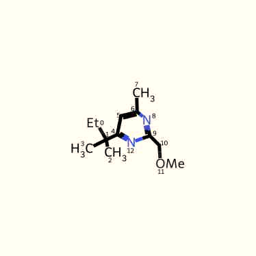 CCC(C)(C)c1cc(C)nc(COC)n1